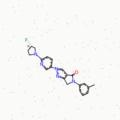 Cc1cccc(N2Cc3nn(-c4ccc(N5CC[C@H](F)C5)nc4)cc3C2=O)c1